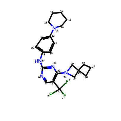 FC(F)(F)c1cnc(Nc2ccc(N3CCCCC3)cc2)nc1N1CC2(CCC2)C1